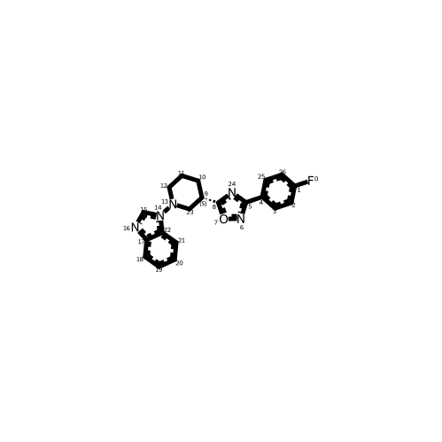 Fc1ccc(-c2noc([C@H]3CCCN(n4cnc5ccccc54)C3)n2)cc1